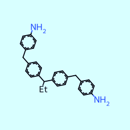 CCC(c1ccc(Cc2ccc(N)cc2)cc1)c1ccc(Cc2ccc(N)cc2)cc1